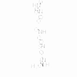 CN(C)c1ccc(-c2ccc(-c3nc4ccc(OCCNC(=O)CCCOc5ccc6c(c5)C(=O)N(C5CCC(=O)NC5=O)C6)cc4s3)cc2)cn1